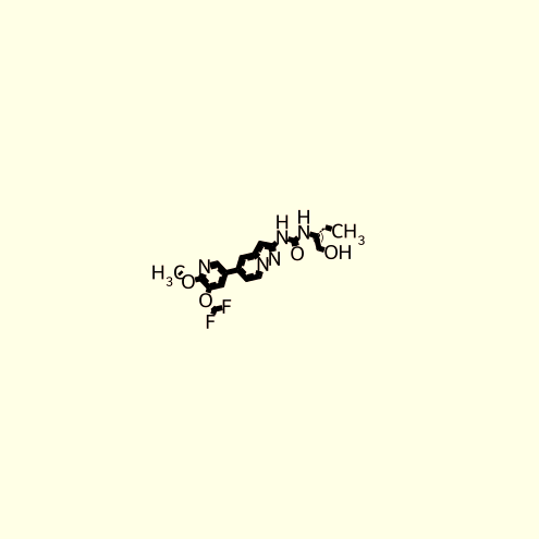 CC[C@H](CO)NC(=O)Nc1cc2cc(-c3cnc(OC)c(OC(F)F)c3)ccn2n1